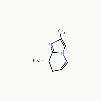 Cc1cn2c(n1)[C@@H](C)CC=C2